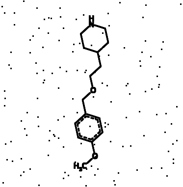 COc1ccc(COCCC2CCNCC2)cc1